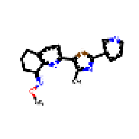 CCCO/N=C1\CCCc2ccc(-c3sc(-c4cccnc4)nc3C)nc21